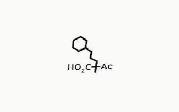 CC(=O)C(C)(CCCC1CCCCC1)C(=O)O